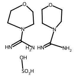 N=C(N)N1CCOCC1.N=C(N)N1CCOCC1.O=S(=O)(O)O